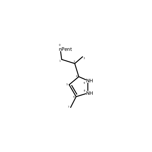 CCCCCCC(C)C1C=C(C)NN1